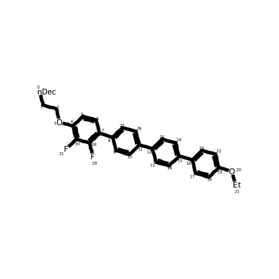 CCCCCCCCCCCCOc1ccc(-c2ccc(-c3ccc(-c4ccc(OCC)cc4)cc3)cc2)c(F)c1F